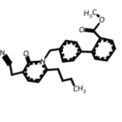 CCCCc1ccc(CC#N)c(=O)n1Cc1ccc(-c2ccccc2C(=O)OC)cc1